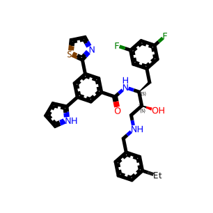 CCc1cccc(CNC[C@H](O)[C@H](Cc2cc(F)cc(F)c2)NC(=O)c2cc(-c3ccc[nH]3)cc(-c3nccs3)c2)c1